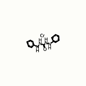 O=C(NNc1ccccc1)NNc1ccccc1.[Cr]